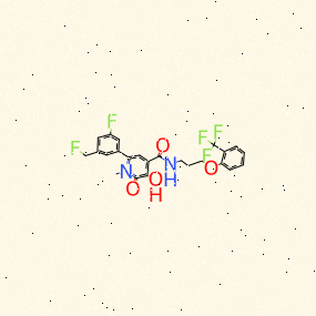 Cn1c(-c2cc(F)cc(CF)c2)cc(C(=O)NCCCOc2ccccc2C(F)(F)F)c(O)c1=O